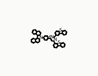 C1=C(c2ccc(-n3c4ccc5ccccc5c4c4c5ccccc5ccc43)cc2)NC(c2ccc3sc4ccccc4c3c2)N=C1c1cccc2c1sc1ccccc12